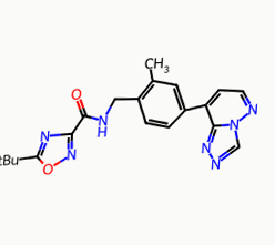 Cc1cc(-c2ccnn3cnnc23)ccc1CNC(=O)c1noc(C(C)(C)C)n1